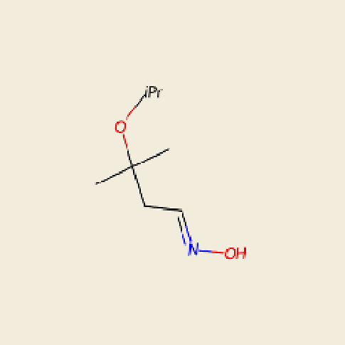 CC(C)OC(C)(C)C/C=N/O